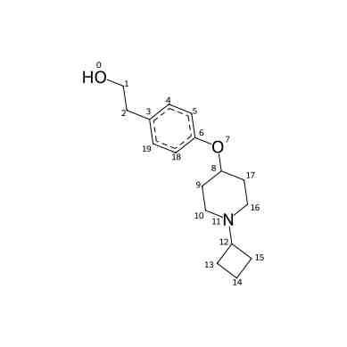 OCCc1ccc(OC2CCN(C3CCC3)CC2)cc1